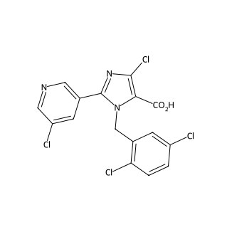 O=C(O)c1c(Cl)nc(-c2cncc(Cl)c2)n1Cc1cc(Cl)ccc1Cl